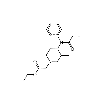 CCOC(=O)CN1CCC(N(C(=O)CC)c2ccccc2)C(C)C1